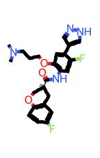 CN(C)CCCOc1cc(-c2cn[nH]c2)c(F)cc1NC(=O)[C@H]1COc2ccc(F)cc2C1